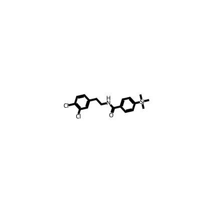 C[Si](C)(C)c1ccc(C(=O)NCCc2ccc(Cl)c(Cl)c2)cc1